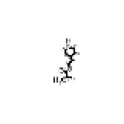 CC(I)C(=O)OCCC1CCNCC1